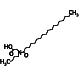 CCCCCCCCCCCCCCCCCC(=O)N(CCCC)CC(=O)O